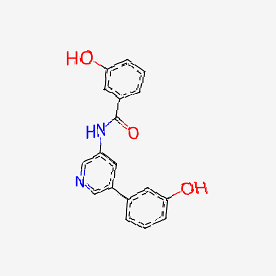 O=C(Nc1cncc(-c2cccc(O)c2)c1)c1cccc(O)c1